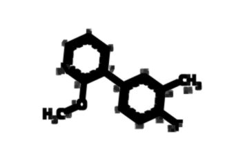 COc1ncccc1-c1ccc(F)c(C)c1